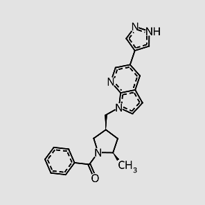 C[C@@H]1C[C@H](Cn2ccc3cc(-c4cn[nH]c4)cnc32)CN1C(=O)c1ccccc1